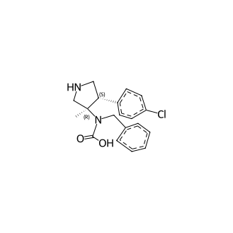 C[C@]1(N(Cc2ccccc2)C(=O)O)CNC[C@@H]1c1ccc(Cl)cc1